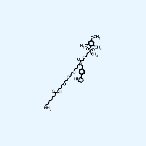 COc1cc(C)c(S(=O)(=O)N(C)CCOCC(=O)N(CCCOCCOCCOCCCNC(=O)CCCCCCN)Cc2ccc(C3=NCCN3)cc2)c(C)c1